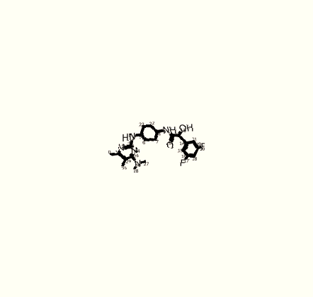 Cc1nc(NC2CCC(NC(=O)C(O)c3cc(F)cc(F)c3)CC2)nc(N(C)C)c1C